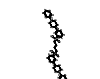 O=S(=O)(CCCCS(=O)(=O)c1cccc(C2CCN(c3ccccc3)CC2)c1)c1cccc(C2CCN(c3ccccc3)CC2)c1